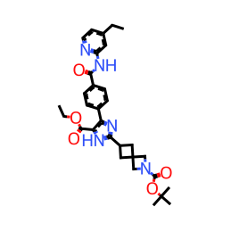 CCOC(=O)c1[nH]c(C2CC3(C2)CN(C(=O)OC(C)(C)C)C3)nc1-c1ccc(C(=O)Nc2cc(CC)ccn2)cc1